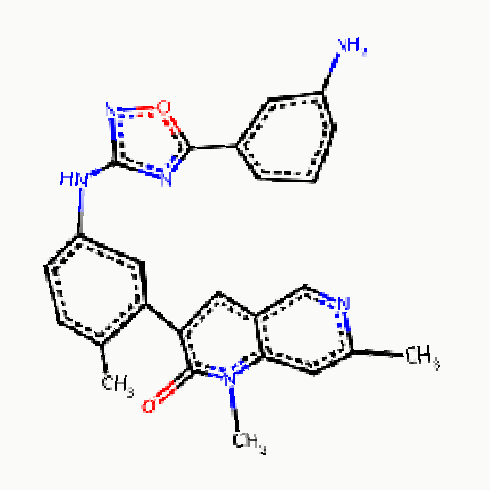 Cc1cc2c(cn1)cc(-c1cc(Nc3noc(-c4cccc(N)c4)n3)ccc1C)c(=O)n2C